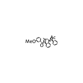 COc1cccc(C(=O)N2c3ccccc3[C@H](N(C(C)=O)c3ccccc3)C[C@@H]2C)c1